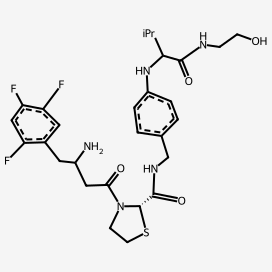 CC(C)C(Nc1ccc(CNC(=O)[C@@H]2SCCN2C(=O)CC(N)Cc2cc(F)c(F)cc2F)cc1)C(=O)NCCO